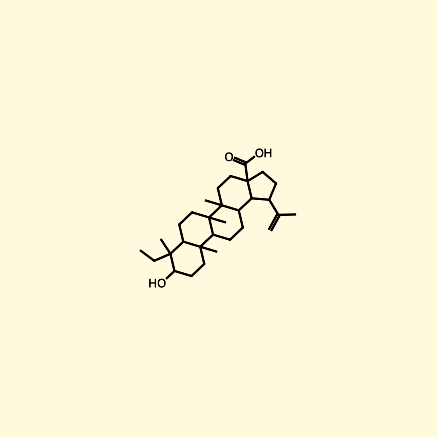 C=C(C)C1CCC2(C(=O)O)CCC3(C)C(CCC4C5(C)CCC(O)C(C)(CC)C5CCC43C)C12